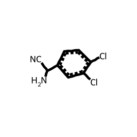 N#CC(N)c1ccc(Cl)c(Cl)c1